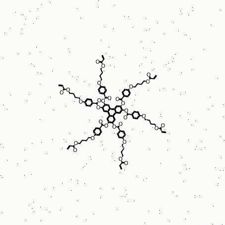 C=CC(=O)OCCCCOc1ccc(C(=O)Oc2cc3c4cc(OC(=O)c5ccc(OCCCCOC(=O)C=C)cc5)c(OC(=O)c5ccc(OCCCCOC(=O)C=C)cc5)cc4c4cc(OC(=O)c5ccc(OCCCCOC(=O)C=C)cc5)c(OC(=O)c5ccc(OCCCCOC(=O)C=C)cc5)cc4c3cc2OC(=O)c2ccc(OCCCCOC(=O)C=C)cc2)cc1